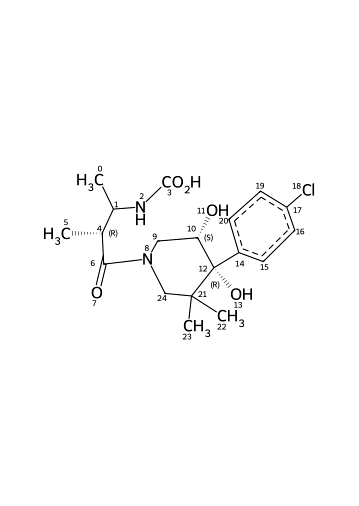 CC(NC(=O)O)[C@@H](C)C(=O)N1C[C@H](O)[C@@](O)(c2ccc(Cl)cc2)C(C)(C)C1